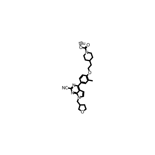 Cc1cc(-c2nc(C#N)nc3c2ccn3CC2CCOC2)ccc1OCCC1CCN(C(=O)OC(C)(C)C)CC1